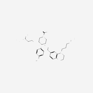 COCCCN1CCOc2ccc(CO[C@H]3CN(C(=O)O)C[C@@H](OCC[C@@H](C)O)[C@@H]3c3ccc(OC)cc3)cc21